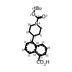 CC(C)(C)OC(=O)N1CCC(c2cccc3c(C(=O)O)cccc23)CC1